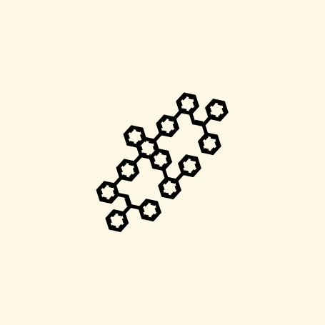 C(=C(c1ccccc1)c1ccccc1)c1ccccc1-c1ccc(-c2c3ccccc3c(-c3ccc(-c4ccccc4C=C(c4ccccc4)c4ccccc4)cc3)c3cc(-c4ccccc4-c4ccccc4)ccc23)cc1